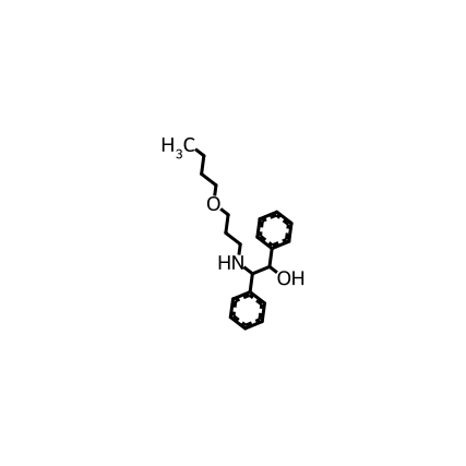 CCCCOCCCNC(c1ccccc1)C(O)c1ccccc1